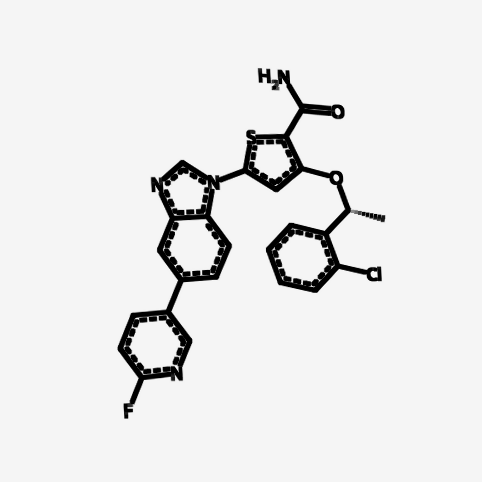 C[C@@H](Oc1cc(-n2cnc3cc(-c4ccc(F)nc4)ccc32)sc1C(N)=O)c1ccccc1Cl